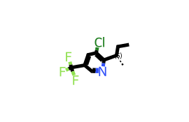 CC[C@H](C)c1ncc(C(F)(F)F)cc1Cl